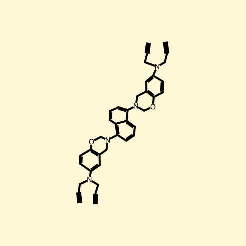 C#CCN(CC#C)c1ccc2c(c1)CN(c1cccc3c(N4COc5ccc(N(CC#C)CC#C)cc5C4)cccc13)CO2